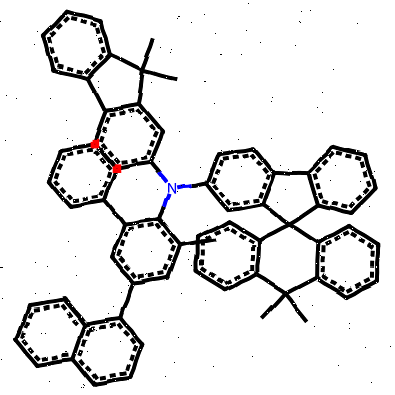 Cc1cc(-c2cccc3ccccc23)cc(-c2ccccc2)c1N(c1ccc2c(c1)C(C)(C)c1ccccc1-2)c1ccc2c(c1)C1(c3ccccc3-2)c2ccccc2C(C)(C)c2ccccc21